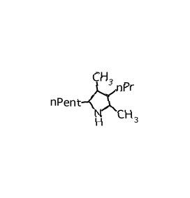 CCCCCC1NC(C)C(CCC)C1C